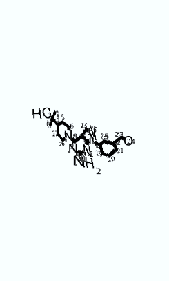 CC(C)(O)C1CCN(c2nc(N)nc3c2cnn3-c2cccc(C=O)c2)CC1